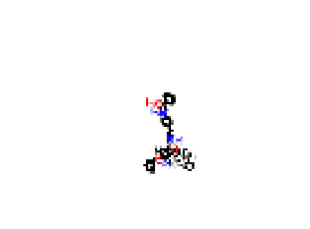 CC(C)(C)[Si](C)(C)O[C@@H](CNCCc1ccc(NC[C@H](O)c2ccccc2)cc1)c1ccc(OCc2ccccc2)c(NC=O)c1